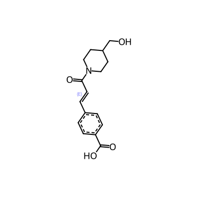 O=C(O)c1ccc(/C=C/C(=O)N2CCC(CO)CC2)cc1